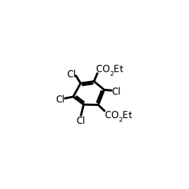 CCOC(=O)c1c(Cl)c(Cl)c(Cl)c(C(=O)OCC)c1Cl